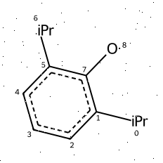 CC(C)c1cccc(C(C)C)c1[O]